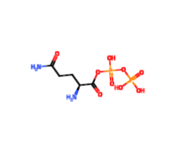 NC(=O)CC[C@H](N)C(=O)OP(=O)(O)OP(=O)(O)O